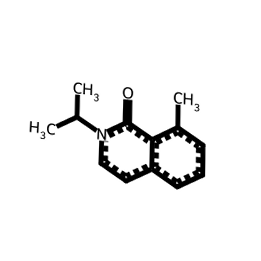 Cc1cccc2ccn(C(C)C)c(=O)c12